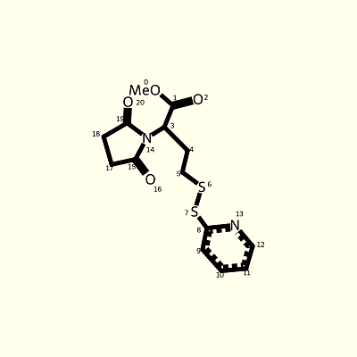 COC(=O)C(CCSSc1ccccn1)N1C(=O)CCC1=O